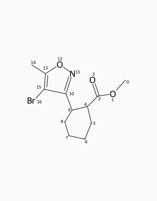 COC(=O)C1CCCCC1c1noc(C)c1Br